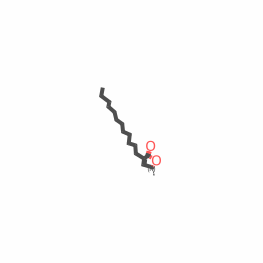 CCCCCCCCCCCCC1=C[C@@H](C)OC1=O